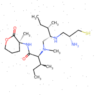 CC[C@H](C)[C@@H](C(=O)N[C@@]1(C)CCCOC1=O)N(C)C[C@@H](NC[C@@H](N)CS)[C@@H](C)CC